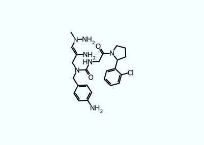 CN(N)/C=C(\N)CN(Cc1ccc(N)cc1)C(=O)NCC(=O)N1CCCC1c1ccccc1Cl